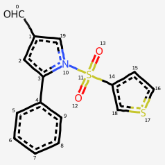 O=Cc1cc(-c2ccccc2)n(S(=O)(=O)c2ccsc2)c1